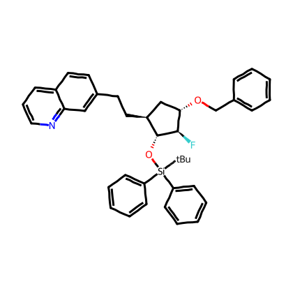 CC(C)(C)[Si](O[C@@H]1[C@@H](CCc2ccc3cccnc3c2)C[C@H](OCc2ccccc2)[C@H]1F)(c1ccccc1)c1ccccc1